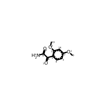 COc1ccc(C(=O)C(N)=O)c(OC)c1